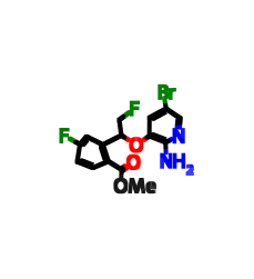 COC(=O)c1ccc(F)cc1C(CF)Oc1cc(Br)cnc1N